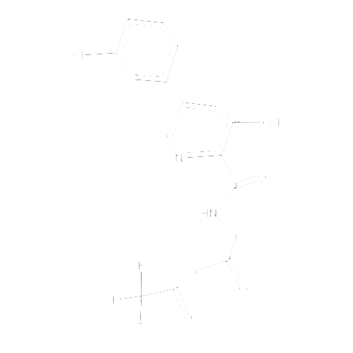 O=C(CNC(=O)c1ncc(-c2cccc(Cl)c2)cc1O)OC(=O)C(F)(F)F